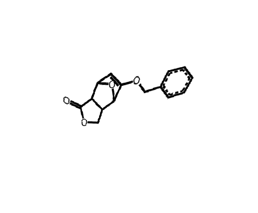 O=C1OCC2C3OC(C=C3OCc3ccccc3)C12